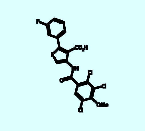 COc1c(Cl)cc(C(=O)Nc2csc(-c3cccc(F)c3)c2C(=O)O)c(Cl)c1Cl